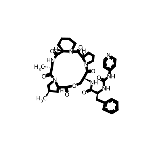 C[C@@H]1C[C@H]2C(=O)OC[C@H](NC(=O)[C@H](Cc3ccccc3)NC(=O)Nc3ccncc3)C(=O)N3CCC[C@H]3C(=O)N3CCCC[C@H]3C(=O)N[C@@H](C)C(=O)N2C1